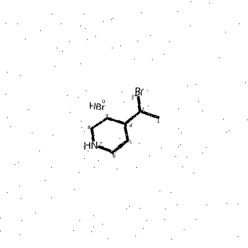 Br.CC(Br)C1CCNCC1